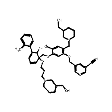 Cc1ccccc1C1=CC=CC(COc2cc(OCc3cncc(C#N)c3)c(CN3CCCC(CO)C3)cc2Cl)(OCCCN2CCCC(CO)C2)C1C